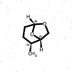 C[C@H]1CC[C@@H]2OC[C@H]1O2